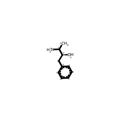 CC(N)[C@@H](O)Cc1ccccc1